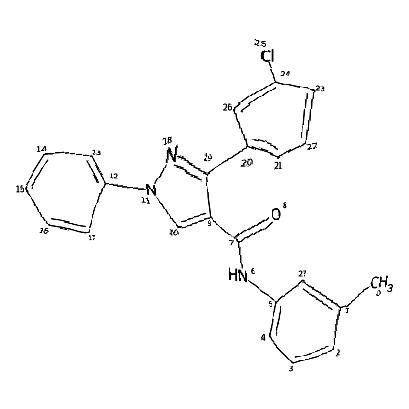 Cc1cccc(NC(=O)c2cn(-c3ccccc3)nc2-c2cccc(Cl)c2)c1